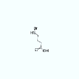 O=C(O)CCCNBr